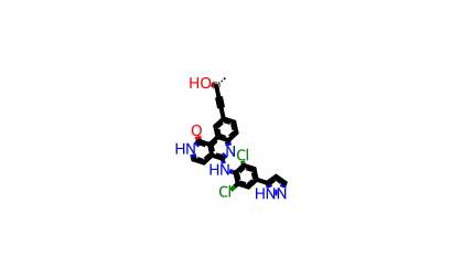 C[C@@H](O)C#Cc1ccc2nc(Nc3c(Cl)cc(-c4ccn[nH]4)cc3Cl)c3cc[nH]c(=O)c3c2c1